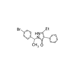 CCc1[nH]n(C(C)c2ccc(Br)cc2)c(=O)c1-c1ccccc1